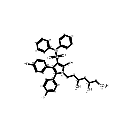 CC(C)c1c(S(=O)(=O)N(c2ccccc2)c2ccccc2)c(-c2ccc(F)cc2)c(-c2ccc(F)cc2)n1CCC(O)CC(O)CC(=O)O